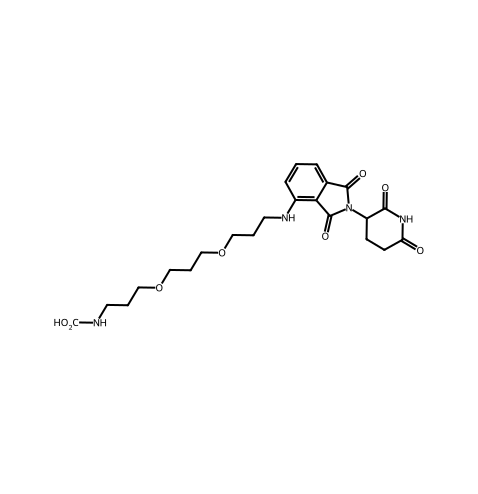 O=C(O)NCCCOCCCOCCCNc1cccc2c1C(=O)N(C1CCC(=O)NC1=O)C2=O